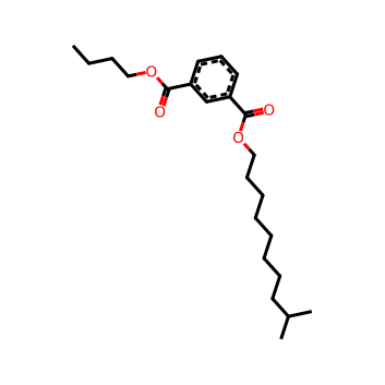 CCCCOC(=O)c1cccc(C(=O)OCCCCCCCCC(C)C)c1